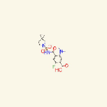 CN(C)c1cc(C(=O)O)c(F)cc1C(=O)NS(=O)(=O)N1CCC2(CC2)C1